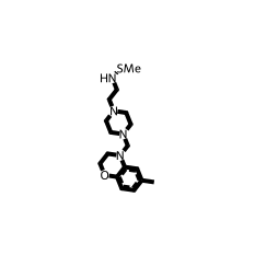 CSNCCN1CCN(CN2CCOc3ccc(C)cc32)CC1